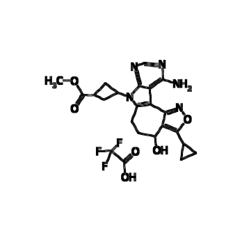 COC(=O)C1CC(n2c3c(c4c(N)ncnc42)-c2noc(C4CC4)c2C(O)CC3)C1.O=C(O)C(F)(F)F